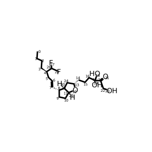 CCCC[C@H](CC=C[C@H]1CC[C@H]2O[C@@H](CCCC(O)(O)C(=O)CO)C[C@H]12)C(F)F